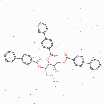 CON=C[C@@H](OC(=O)c1ccc(-c2ccccc2)cc1)[C@@H](OC(=O)c1ccc(-c2ccccc2)cc1)[C@H](Br)COC(=O)c1ccc(-c2ccccc2)cc1